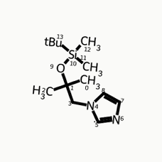 CC(C)(Cn1[c]ncc1)O[Si](C)(C)C(C)(C)C